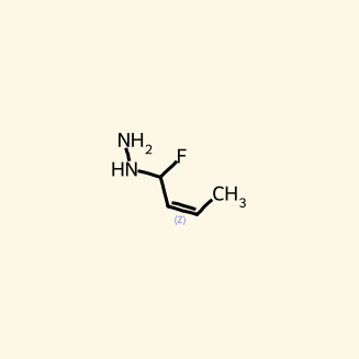 C/C=C\C(F)NN